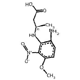 Bc1ccc(OC)c([N+](=O)[O-])c1N[C@H](C)CC(=O)O